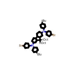 CCCCCCCCC1(CCCCCCCC)c2cc(N(c3ccc(Br)cc3)c3ccc(C(C)(C)C)cc3)ccc2-c2ccc(N(c3ccc(Br)cc3)c3ccc(C(C)(C)C)cc3)cc21